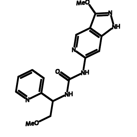 COCC(NC(=O)Nc1cc2[nH]nc(OC)c2cn1)c1ccccn1